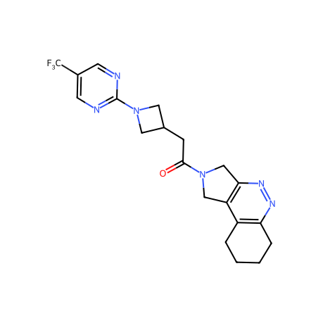 O=C(CC1CN(c2ncc(C(F)(F)F)cn2)C1)N1Cc2nnc3c(c2C1)CCCC3